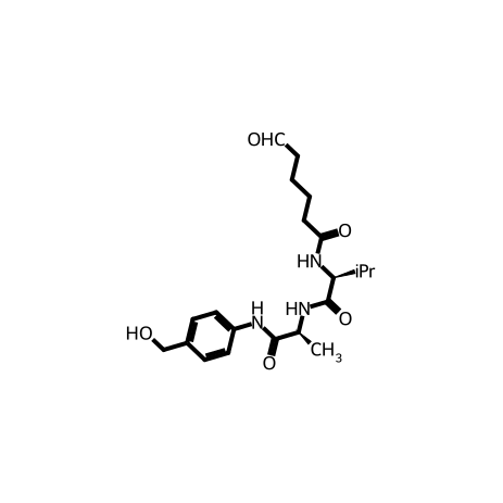 CC(C)[C@H](NC(=O)CCCCC=O)C(=O)N[C@@H](C)C(=O)Nc1ccc(CO)cc1